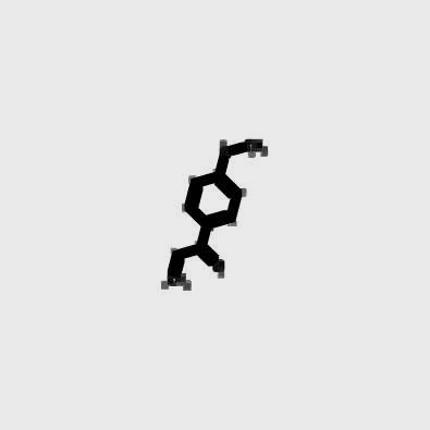 C=CC(=O)c1ccc(OC)cc1